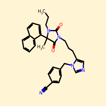 CCCN1C(=O)N(CCCc2cncn2Cc2ccc(C#N)cc2)C(=O)C1(C)c1cccc2ccccc12